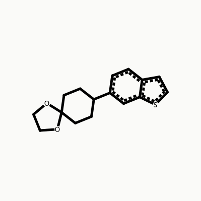 c1cc2ccc(C3CCC4(CC3)OCCO4)cc2s1